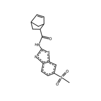 CS(=O)(=O)c1ccc2nc(NC(=O)C3CC4C=CC3C4)sc2c1